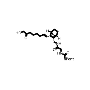 CCCCCC(=O)NCC(=O)NC[C@@H]1[C@H](C=CCCCCC(=O)CO)[C@@H]2CC[C@H]1O2